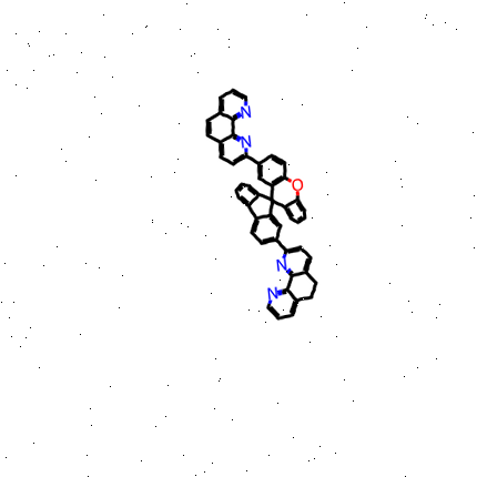 c1cnc2c(c1)CCc1ccc(-c3ccc4c(c3)C3(c5ccccc5Oc5ccc(-c6ccc7ccc8cccnc8c7n6)cc53)c3ccccc3-4)nc1-2